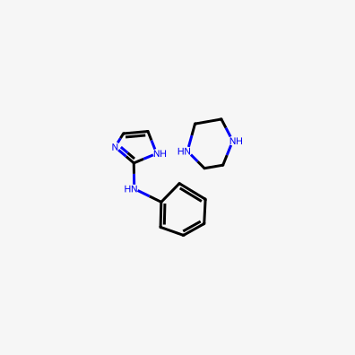 C1CNCCN1.c1ccc(Nc2ncc[nH]2)cc1